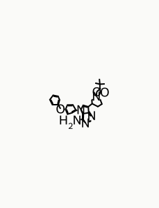 CC(C)(C)C(=O)ON1CCCC(c2cn(-c3ccc(Oc4ccccc4)cc3)c3c(N)ncnc23)C1